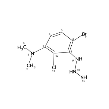 CN(C)c1ccc(Br)c(NNS)c1Cl